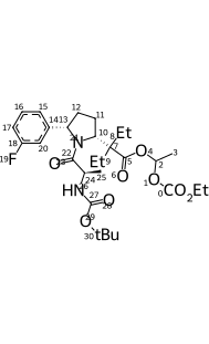 CCOC(=O)OC(C)OC(=O)C(CC)(CC)[C@H]1CC[C@@H](c2cccc(F)c2)N1C(=O)[C@@H](C)NC(=O)OC(C)(C)C